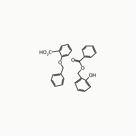 O=C(O)c1ccccc1OCc1ccccc1.O=C(OCc1ccccc1O)c1ccccc1